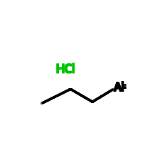 CC[CH2][Al].Cl